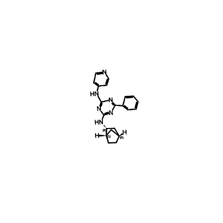 c1ccc(-c2nc(Nc3ccncc3)nc(N[C@@H]3C[C@@H]4CC[C@H]3C4)n2)cc1